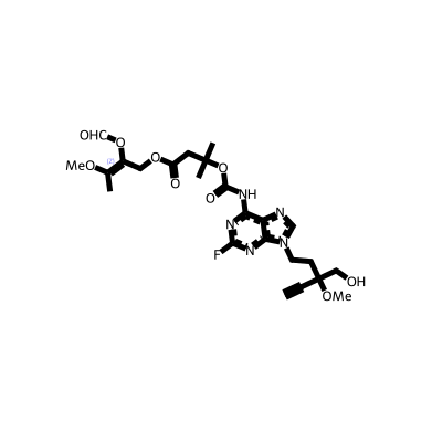 C#CC(CO)(CCn1cnc2c(NC(=O)OC(C)(C)CC(=O)OC/C(OC=O)=C(\C)OC)nc(F)nc21)OC